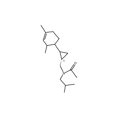 CC(=O)N(CC(C)C)C[C@H]1CC1C1CCC(C)=CC1C